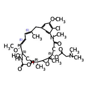 COc1cc2cc(c1Cl)N(C)C(=O)C[C@H](OC(=O)CN(C)C)[C@]1(C)OC1[C@H](C)[C@@H]1C[C@@](O)(NC(=O)O1)[C@H](OC)/C=C/C=C(\C)C2